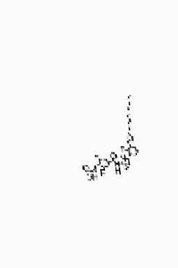 CCCCCCCCCCOCc1cccc(-c2csc(NC(=O)c3cc(F)c(C=C(C)C(=O)O)c(F)c3)n2)c1F